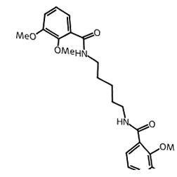 COc1cccc(C(=O)NCCCCCNC(=O)c2cccc(OC)c2OC)c1OC